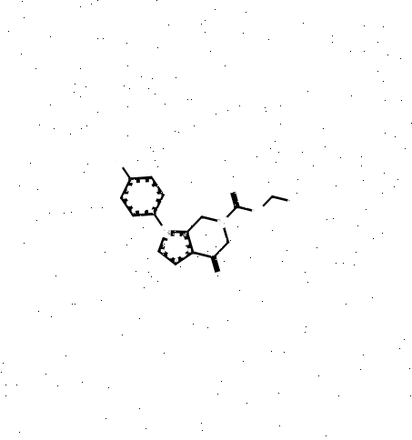 CCOC(=O)N1CC(=O)c2ccn(-c3ccc(C)cc3)c2C1